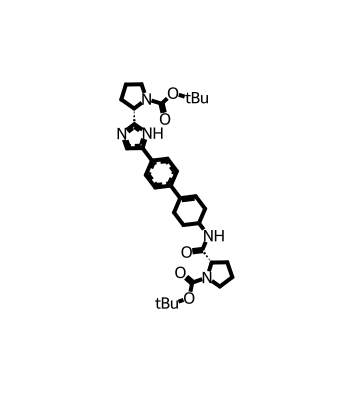 CC(C)(C)OC(=O)N1CCC[C@H]1C(=O)NC1CC=C(c2ccc(-c3cnc([C@@H]4CCCN4C(=O)OC(C)(C)C)[nH]3)cc2)CC1